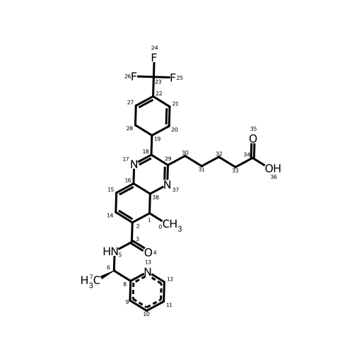 CC1C(C(=O)N[C@H](C)c2ccccn2)=CC=C2N=C(C3C=CC(C(F)(F)F)=CC3)C(CCCCC(=O)O)=NC21